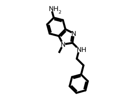 Cn1c(NCCc2ccccc2)nc2cc(N)ccc21